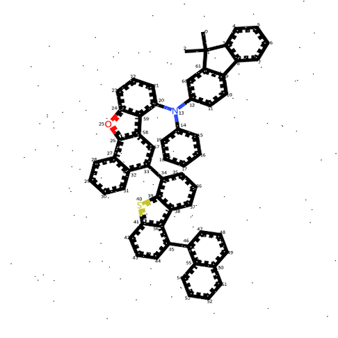 CC1(C)c2ccccc2-c2ccc(N(c3ccccc3)c3cccc4oc5c6ccccc6c(-c6cccc7c6sc6cccc(-c8cccc9ccccc89)c67)cc5c34)cc21